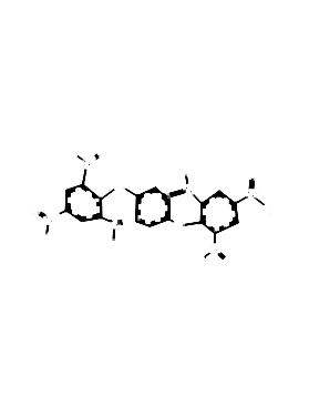 O=[N+]([O-])c1cc([N+](=O)[O-])c(Oc2ccc(Oc3c([N+](=O)[O-])cc([N+](=O)[O-])cc3[N+](=O)[O-])cc2)c([N+](=O)[O-])c1